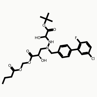 CCCC(=O)OCOC(=O)[C@H](O)CN(Cc1ccc(-c2cc(Cl)ccc2F)cc1)NC(O)C(=O)OC(C)(C)C